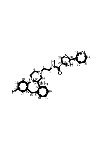 O=C(NCCN1CCN2c3ccc(F)cc3Cc3ccccc3[C@@H]2C1)[C@@H]1CSC(c2cccnc2)N1